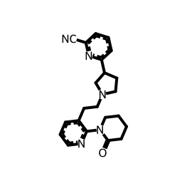 N#Cc1cccc(C2CCN(CCc3cccnc3N3CCCCC3=O)C2)n1